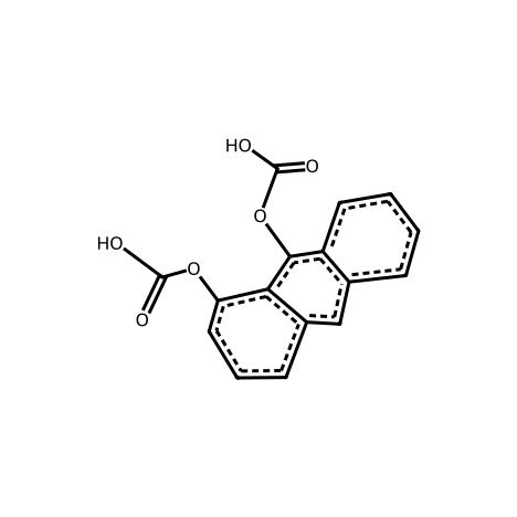 O=C(O)Oc1cccc2cc3ccccc3c(OC(=O)O)c12